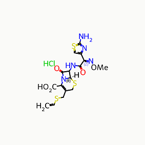 C=CSCC1=C(C(=O)O)N2C(=O)C(NC(=O)/C(=N\OC)c3csc(N)n3)[C@H]2SC1.Cl